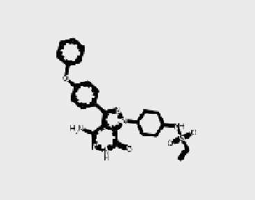 C=CS(=O)(=O)NC1CCC(n2nc(-c3ccc(Oc4ccccc4)cc3)c3c(N)n[nH]c(=O)c32)CC1